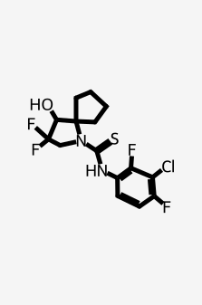 OC1C(F)(F)CN(C(=S)Nc2ccc(F)c(Cl)c2F)C12CCCC2